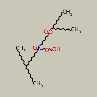 CCCCCCCCC(CCCCCCCC)CCCCCCCC(=O)N(CCCCCCC(=O)OCC(CCCCCCCC)CCCCCCCC)CCOCCO